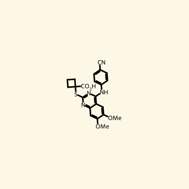 COc1cc2nc(SC3(C(=O)O)CCC3)nc(Nc3ccc(C#N)cc3)c2cc1OC